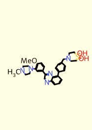 COc1ccc(-c2cnc3cccc(-c4ccc(CN5CCS(O)(O)CC5)cc4)c3n2)cc1N1CCN(C)CC1